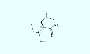 CCN(CC)[C@@H](CC(C)C)C(N)=O